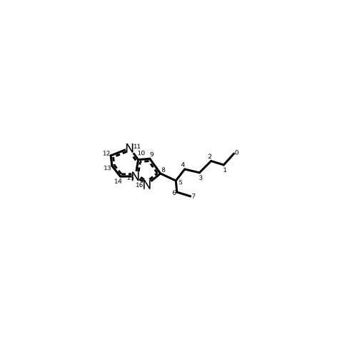 CCCCCC(CC)c1cc2ncccn2n1